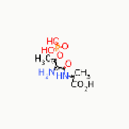 C[C@H](NC(=O)[C@@H](N)[C@@H](C)OP(=O)(O)O)C(=O)O